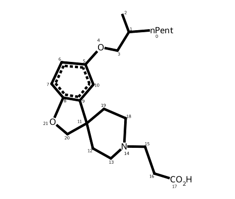 CCCCCC(C)COc1ccc2c(c1)C1(CCN(CCC(=O)O)CC1)CO2